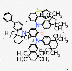 CC1(C)CCC(C)(C)c2cc(N3c4cc5c(cc4B4c6cc7c(cc6N(c6cccc8sc9ccccc9c68)c6cc(N8c9ccc(-c%10ccccc%10)cc9C9(C)CCCCC89C)cc3c64)C(C)(C)CC7(C)C)C(C)(C)CCC5(C)C)ccc21